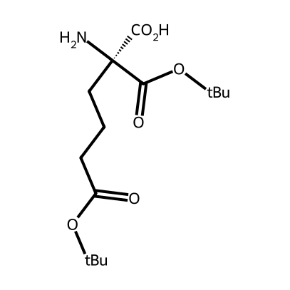 CC(C)(C)OC(=O)CCC[C@](N)(C(=O)O)C(=O)OC(C)(C)C